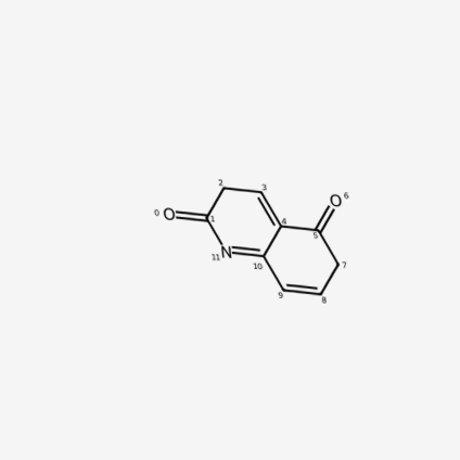 O=C1CC=C2C(=O)CC=CC2=N1